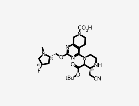 CN1C[C@H](F)C[C@H]1COc1nc2c(c(N3CCN[C@@H](CC#N)C3C(=O)OC(C)(C)C)n1)CCN(C(=O)O)C2